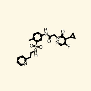 Cc1ccc(NC(=O)Cn2ncc(F)c(C3CC3)c2=O)cc1S(=O)(=O)NCCc1ccccn1